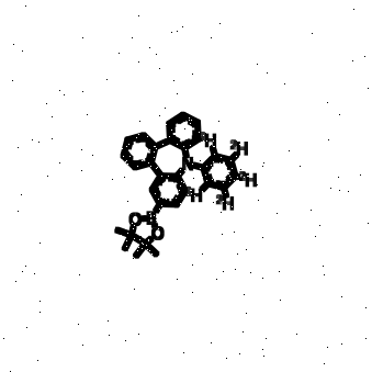 [2H]c1c([2H])c([2H])c(N2c3ccccc3-c3ccccc3-c3cc(B4OC(C)(C)C(C)(C)O4)ccc32)c([2H])c1[2H]